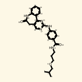 CC(C)COCCCNC(=O)c1ccc(Nc2ncc3c(n2)-c2ccccc2NC(=O)C3)cc1